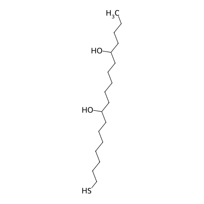 CCCCC(O)CCCCCC(O)CCCCCCCS